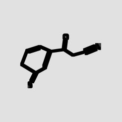 N#CCC(=O)C1=CC(=S)CC=C1